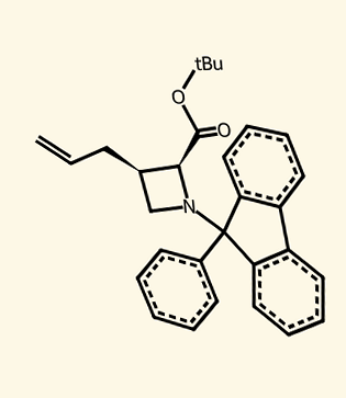 C=CC[C@@H]1CN(C2(c3ccccc3)c3ccccc3-c3ccccc32)[C@@H]1C(=O)OC(C)(C)C